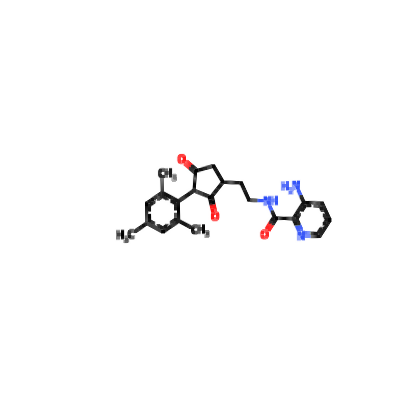 Cc1cc(C)c(C2C(=O)CC(CCNC(=O)c3ncccc3N)C2=O)c(C)c1